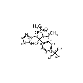 CCC(C(O)(Cn1cncn1)c1ccc(C(F)(F)F)cc1)S(C)(=O)=O